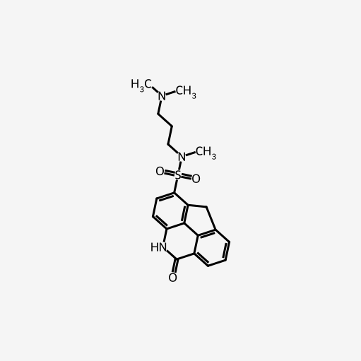 CN(C)CCCN(C)S(=O)(=O)c1ccc2[nH]c(=O)c3cccc4c3c2c1C4